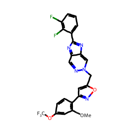 COc1cc(OC(F)(F)F)ccc1-c1cc(Cn2cc3nc(-c4cccc(F)c4F)nc-3cn2)on1